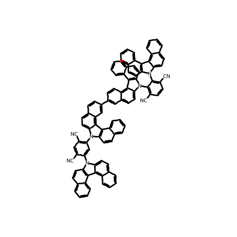 N#Cc1cc(C#N)c(-n2c3ccc4ccccc4c3c3c4cc(-c5ccc6c(ccc7c6c6c8ccccc8ccc6n7-c6c(C#N)ccc(C#N)c6-n6c7ccc8ccccc8c7c7c8ccccc8ccc76)c5)ccc4ccc32)cc1-n1c2ccc3ccccc3c2c2c3ccccc3ccc21